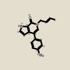 CC=CCn1cc(-c2ccc(C(C)(C)C)cc2)c2cc[nH]c2c1=O